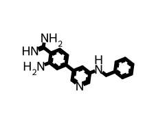 N=C(N)c1ccc(-c2cncc(NCc3ccccc3)c2)cc1N